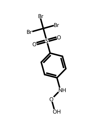 O=S(=O)(c1ccc(NOO)cc1)C(Br)(Br)Br